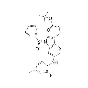 Cc1ccc(Nc2ccc3c(CN(C)C(=O)OC(C)(C)C)cn([S+]([O-])c4ccccc4)c3c2)c(F)c1